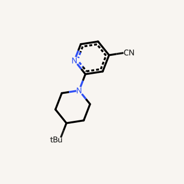 CC(C)(C)C1CCN(c2cc(C#N)ccn2)CC1